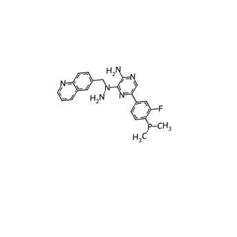 CP(C)c1ccc(-c2cnc(N)c(N(N)Cc3ccc4ncccc4c3)n2)cc1F